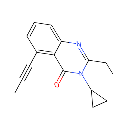 CC#Cc1cccc2nc(CC)n(C3CC3)c(=O)c12